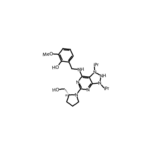 COc1cccc(CNc2nc(N3CCC[C@@H]3CO)nc3c2N(C(C)C)NN3C(C)C)c1O